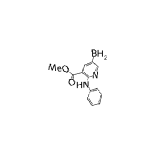 Bc1cnc(Nc2ccccc2)c(C(=O)OC)c1